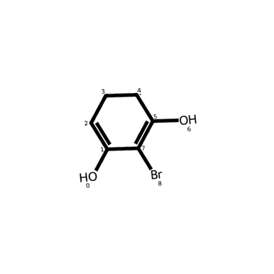 OC1=CC[CH]C(O)=C1Br